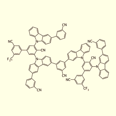 N#Cc1cccc(-c2ccc3c(c2)c2ccccc2n3-c2cc(-c3cc(C#N)cc(C(F)(F)F)c3)cc(-n3c4ccc(-c5cccc(C#N)c5)cc4c4cc(-c5cc(C#N)cc(-c6ccc7c8ccccc8n(-c8cc(-c9cc(C#N)cc(C(F)(F)F)c9)cc(-n9c%10ccccc%10c%10ccc(-c%11cccc(C#N)c%11)cc%109)c8C#N)c7c6)c5)ccc43)c2C#N)c1